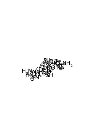 Nc1nc2c(ncn2C2OC3COP(S)OC4C(COP(S)OC2C3O)OC(n2ccc3c(N)ncnc32)C4O)c(=O)[nH]1